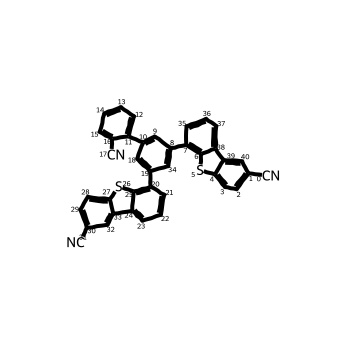 N#Cc1ccc2sc3c(-c4cc(-c5ccccc5C#N)cc(-c5cccc6c5sc5ccc(C#N)cc56)c4)cccc3c2c1